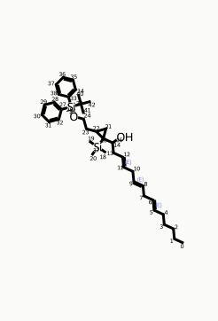 CCCCC/C=C/C/C=C/C/C=C/CC(O)C1([Si](C)(C)C)CC1CCO[Si](c1ccccc1)(c1ccccc1)C(C)(C)C